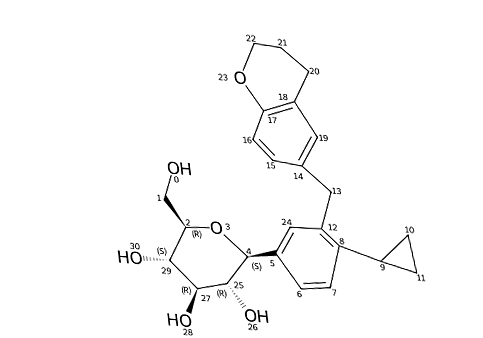 OC[C@H]1O[C@@H](c2ccc(C3CC3)c(Cc3ccc4c(c3)CCCO4)c2)[C@H](O)[C@@H](O)[C@@H]1O